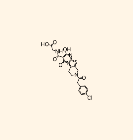 O=C(O)CNC(=O)c1c(O)nc2sc3c(n2c1=O)CCN(C(=O)Cc1ccc(Cl)cc1)C3